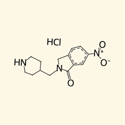 Cl.O=C1c2cc([N+](=O)[O-])ccc2CN1CC1CCNCC1